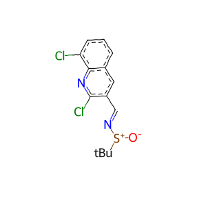 CC(C)(C)[S+]([O-])N=Cc1cc2cccc(Cl)c2nc1Cl